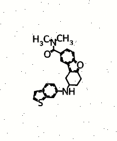 CN(C)C(=O)c1ccc2oc3c(c2c1)CC(Nc1ccc2ccsc2c1)CC3